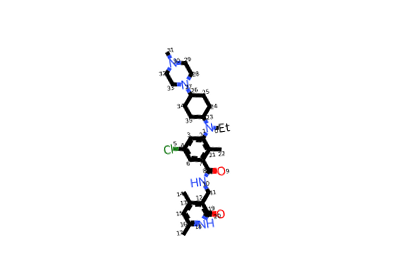 CCN(c1cc(Cl)cc(C(=O)NCc2c(C)cc(C)[nH]c2=O)c1C)C1CCC(N2CCN(C)CC2)CC1